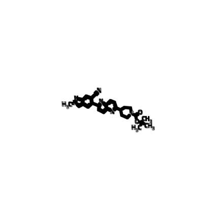 Cn1cc2cc(-c3ccc4nc(C5CCN(C(=O)OC(C)(C)C)CC5)ccc4n3)c(C#N)cc2n1